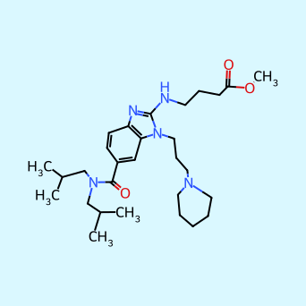 COC(=O)CCCNc1nc2ccc(C(=O)N(CC(C)C)CC(C)C)cc2n1CCCN1CCCCC1